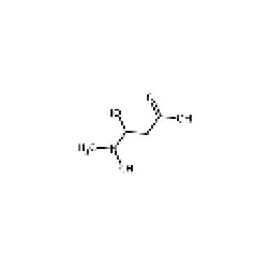 CN(C)C(O)CC(=O)O